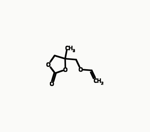 C=COCC1(C)COC(=O)O1